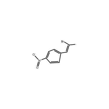 [CH2]/C(Br)=C/c1ccc([N+](=O)[O-])cc1